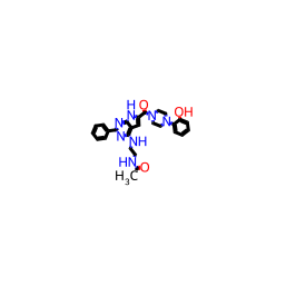 CC(=O)NCCNc1nc(-c2ccccc2)nc2[nH]c(C(=O)N3CCN(c4ccccc4O)CC3)cc12